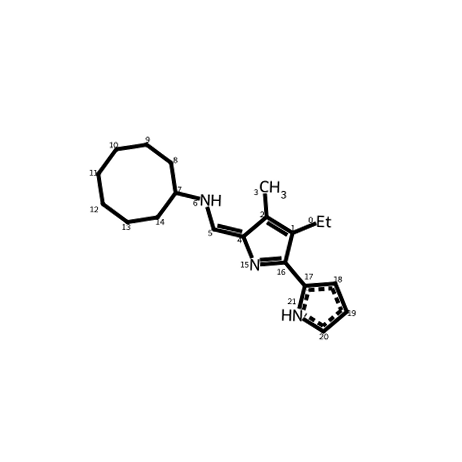 CCC1=C(C)C(=CNC2CCCCCCC2)N=C1c1ccc[nH]1